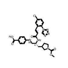 COC(=O)N1CCC(C[C@H](CNc2ccc(C(=O)O)cc2)NC(=O)/C=C/c2cc(Cl)ccc2-n2cnnn2)C1